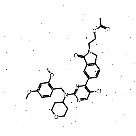 COc1ccc(CN(c2ncc(Cl)c(-c3ccc4c(c3)C(=O)N(CCOC(C)=O)C4)n2)C2CCOCC2)c(OC)c1